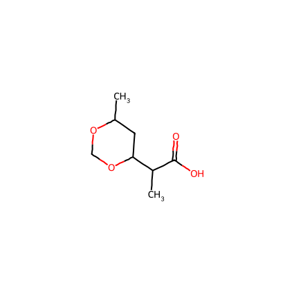 CC1CC(C(C)C(=O)O)OCO1